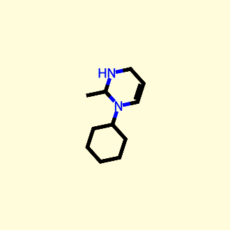 CC1NCC=CN1C1CCCCC1